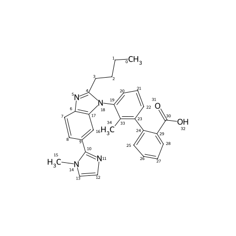 CCCCc1nc2ccc(-c3nccn3C)cc2n1-c1cccc(-c2ccccc2C(=O)O)c1C